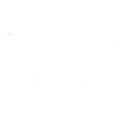 Nc1ccc(Oc2ccc(Oc3ccc(C=O)cc3)cc2)cc1